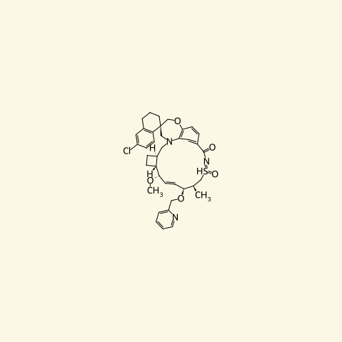 CO[C@H]1/C=C/[C@H](OCc2ccccn2)[C@H](C)C/[SH](=O)=N\C(=O)c2ccc3c(c2)N(C[C@@H]2CC[C@H]21)C[C@@]1(CCCc2cc(Cl)ccc21)CO3